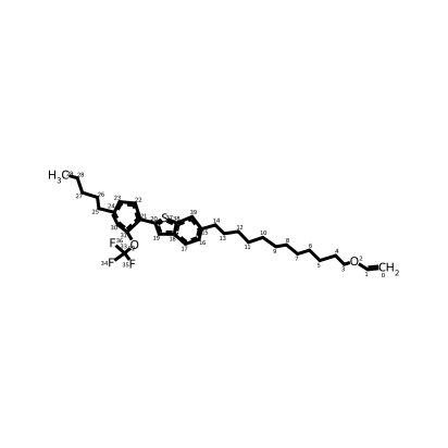 C=COCCCCCCCCCCCCc1ccc2cc(-c3ccc(CCCCC)cc3OC(F)(F)F)sc2c1